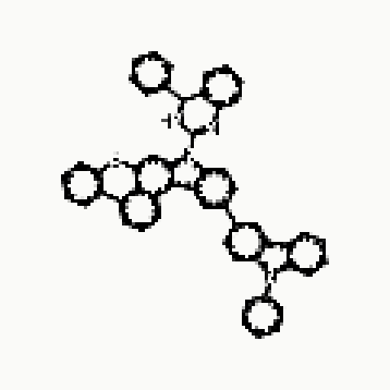 c1ccc(C2NC(n3c4ccc(-c5ccc6c(c5)c5ccccc5n6-c5ccccc5)cc4c4c5cccc6c5c(cc43)Sc3ccccc3-6)=Nc3ccccc32)cc1